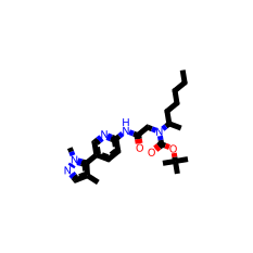 CCCCCC(C)N(CC(=O)Nc1ccc(-c2c(C)cnn2C)cn1)C(=O)OC(C)(C)C